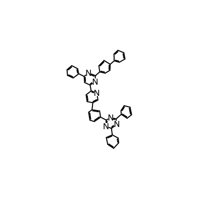 c1ccc(-c2ccc(-c3nc(-c4ccccc4)cc(-c4ccc(-c5cccc(-c6nc(-c7ccccc7)nc(-c7ccccc7)n6)c5)cn4)n3)cc2)cc1